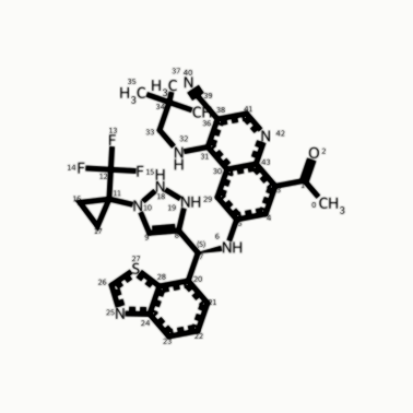 CC(=O)c1cc(N[C@H](C2=CN(C3(C(F)(F)F)CC3)NN2)c2cccc3ncsc23)cc2c(NCC(C)(C)C)c(C#N)cnc12